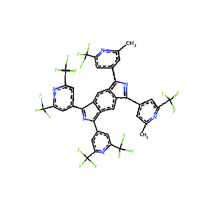 Cc1cc(C2=NC(c3cc(C)nc(C(F)(F)F)c3)=c3cc4c(cc32)=C(c2cc(C(F)(F)F)nc(C(F)(F)F)c2)N=C4c2cc(C(F)(F)F)nc(C(F)(F)F)c2)cc(C(F)(F)F)n1